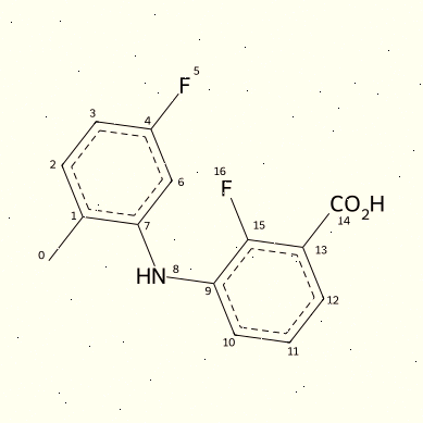 Cc1ccc(F)cc1Nc1cccc(C(=O)O)c1F